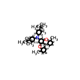 Cc1cccc2c1Oc1cc(N(c3ccc(C(C)(C)C)cc3)c3ccc(C(C)(C)C)cc3)cc3c1B2c1cccc(C)c1O3